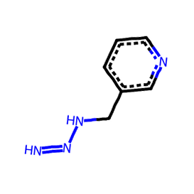 N=NNCc1cccnc1